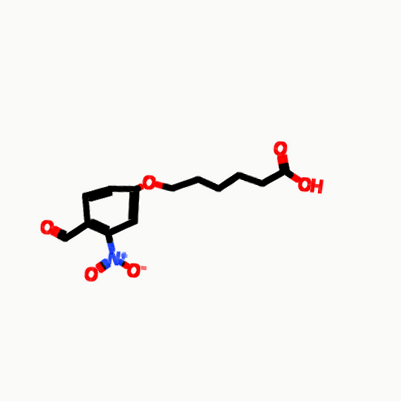 O=Cc1ccc(OCCCCCC(=O)O)cc1[N+](=O)[O-]